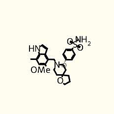 COc1cc(C)c2[nH]ccc2c1CN1CCC2(CCCO2)C[C@H]1c1ccc(S(N)(=O)=O)cc1